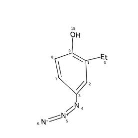 CCc1cc(N=[N+]=[N-])ccc1O